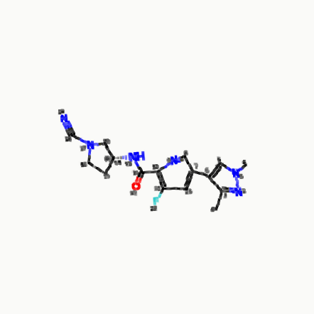 Cc1nn(C)cc1-c1cnc(C(=O)N[C@@H]2CCN(C#N)C2)c(F)c1